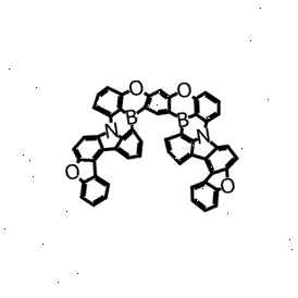 c1cc2c3c(c1)-n1c4ccc5oc6ccccc6c5c4c4cccc(c41)B3c1cc3c(cc1O2)Oc1cccc2c1B3c1cccc3c4c5c(ccc4n-2c13)oc1ccccc15